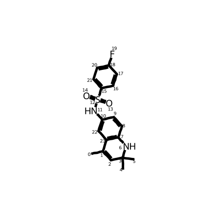 CC1=CC(C)(C)Nc2ccc(NS(=O)(=O)c3ccc(F)cc3)cc21